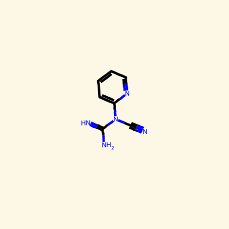 N#CN(C(=N)N)c1ccccn1